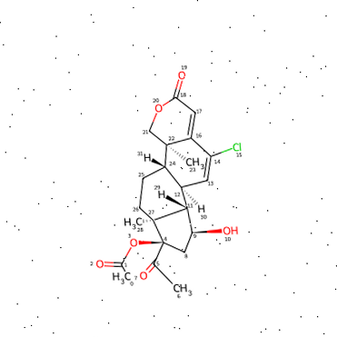 CC(=O)O[C@]1(C(C)=O)C[C@H](O)[C@H]2[C@@H]3C=C(Cl)C4=CC(=O)OC[C@]4(C)[C@H]3CC[C@@]21C